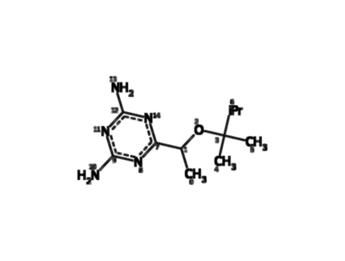 CC(OC(C)(C)C(C)C)c1nc(N)nc(N)n1